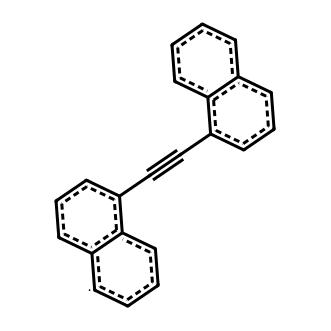 C(#Cc1cccc2ccccc12)c1cccc2[c]cccc12